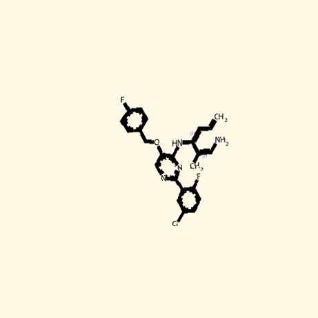 C=C/C=C(Nc1nc(-c2cc(Cl)ccc2F)ncc1OCc1ccc(F)cc1)\C(C)=C/N